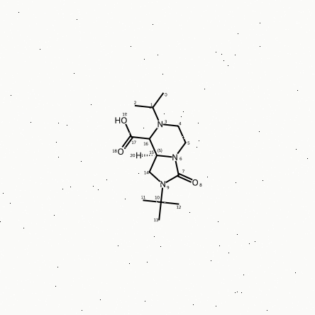 CC(C)N1CCN2C(=O)N(C(C)(C)C)C[C@H]2C1C(=O)O